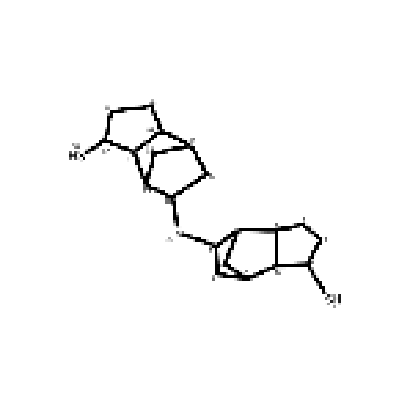 SC1CCC2C3CC(CC3SC3CC4CC3C3C(S)CCC43)C12